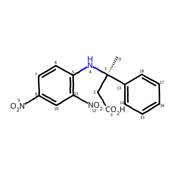 C[C@](CC(=O)O)(Nc1ccc([N+](=O)[O-])cc1[N+](=O)[O-])c1ccccc1